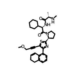 CN[C@@H](C)C(=O)N[C@H](C(=O)N1CCC[C@H]1c1nc(-c2cccc3c2C=CCC3)c(C#CCOC)s1)C1CCCCC1